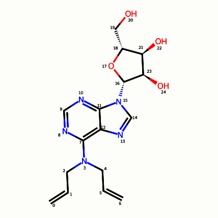 C=CCN(CC=C)c1ncnc2c1ncn2[C@@H]1O[C@H](CO)[C@@H](O)[C@H]1O